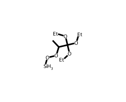 CCOC(OCC)(OCC)C(C)OO[SiH3]